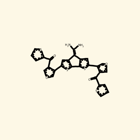 NC(N)=C1c2cc(-c3cocc3C(=O)c3cccs3)sc2-c2sc(-c3cocc3C(=O)c3cccs3)cc21